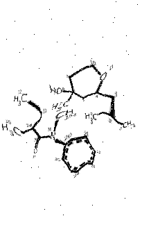 CC(C)CC1CC(C)(O)CCO1.CCC(C)C(=O)N(C)c1ccccc1